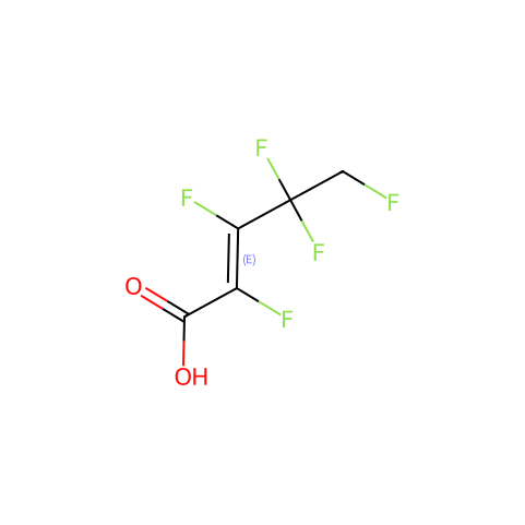 O=C(O)/C(F)=C(\F)C(F)(F)CF